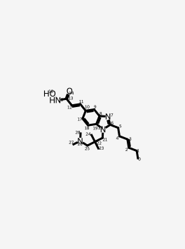 CCC=CCCc1nc2cc(/C=C/C(=O)NO)ccc2n1CC(C)(C)CN(C)C